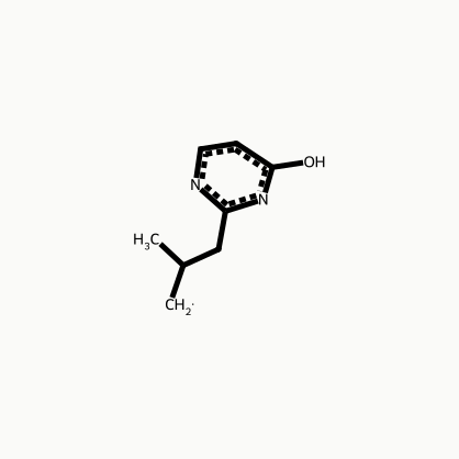 [CH2]C(C)Cc1nccc(O)n1